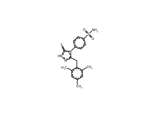 Cc1cc(C)c(Cc2n[nH]c(=S)n2-c2ccc(S(N)(=O)=O)cc2)c(C)c1